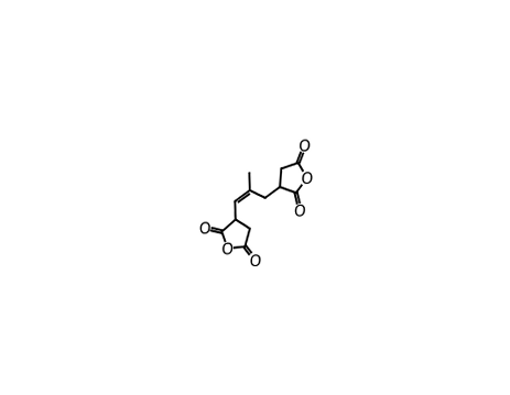 CC(=CC1CC(=O)OC1=O)CC1CC(=O)OC1=O